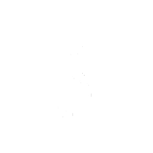 CCOC(=O)C1CCCN(S(=O)(=O)c2ccc(C(F)(F)F)cc2Cl)C1